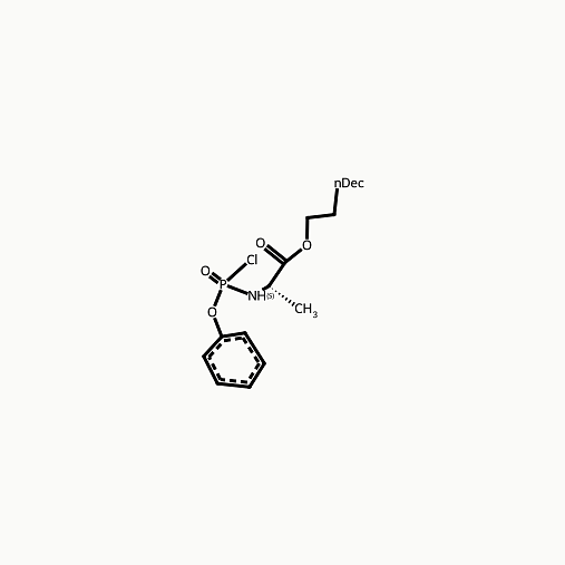 CCCCCCCCCCCCOC(=O)[C@H](C)NP(=O)(Cl)Oc1ccccc1